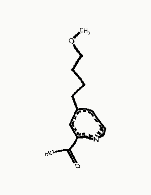 COCCCCc1ccnc(C(=O)O)c1